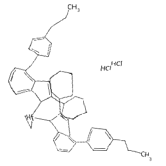 CCCc1ccc(-c2cccc3c2C=C(C2CCCCC2)[CH]3[Hf]2([CH]3C(C4CCCCC4)=Cc4c(-c5ccc(CCC)cc5)cccc43)[CH2][CH2]2)cc1.Cl.Cl